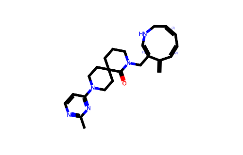 C=C1/C=C\C=C/CN/C=C\1CN1CCCC2(CCN(c3ccnc(C)n3)CC2)C1=O